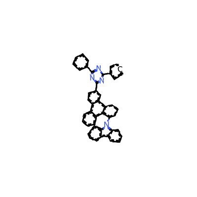 c1ccc(-c2nc(-c3ccccc3)nc(-c3ccc4c5ccccc5c5c(-n6c7ccccc7c7ccccc76)cccc5c4c3)n2)cc1